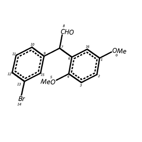 COc1ccc(OC)c(C(C=O)c2cccc(Br)c2)c1